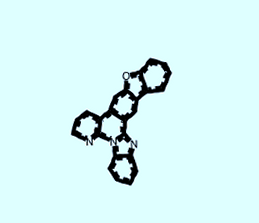 c1ccc2c(c1)nc1c3cc4c(cc3c3cccnc3n21)oc1ccccc14